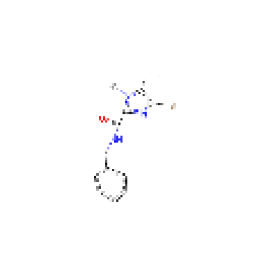 CC(C)n1c(C(=O)NCc2ccccc2)nc(Br)c1C=O